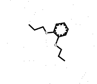 CCCOc1ccccc1OCCC